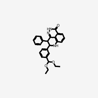 CCOC(OCC)c1cccc(C2Nc3cccc4c(=O)[nH]nc(c34)C2c2ccccc2)c1